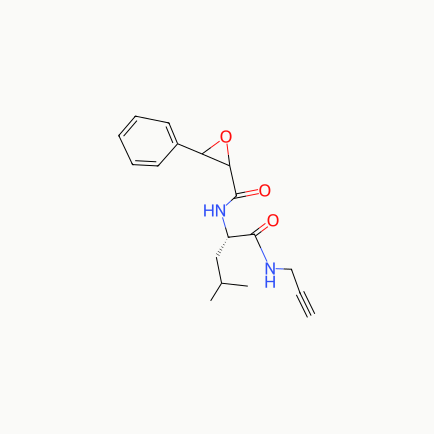 C#CCNC(=O)[C@H](CC(C)C)NC(=O)C1OC1c1ccccc1